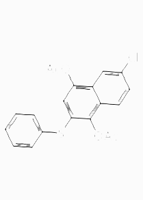 CC(=O)Oc1cc(Sc2ccccc2)c(OC(C)=O)c2ccc(Cl)cc12